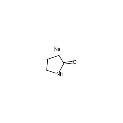 O=C1CCCN1.[Na]